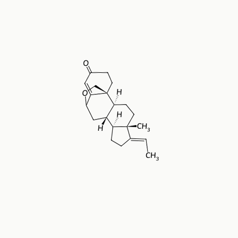 CC=C1CC[C@H]2[C@@H]3CC4OC[C@@]5(CCC(=O)C=C45)[C@H]3CC[C@]12C